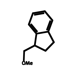 COCC1CCc2ccccc21